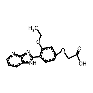 CCOc1cc(OCC(=O)O)ccc1-c1nc2ncccc2[nH]1